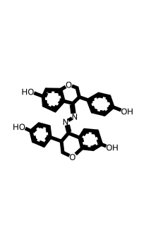 Oc1ccc(C2COc3cc(O)ccc3C2=NN=C2c3ccc(O)cc3OCC2c2ccc(O)cc2)cc1